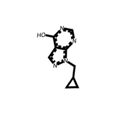 Oc1ncnc2c1cnn2CC1CC1